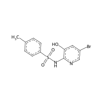 Cc1ccc(S(=O)(=O)Nc2ncc(Br)cc2O)cc1